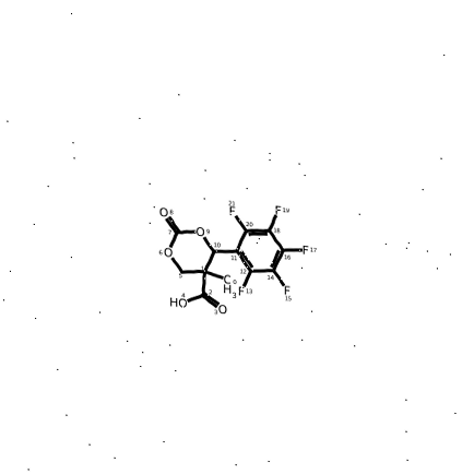 CC1(C(=O)O)COC(=O)OC1c1c(F)c(F)c(F)c(F)c1F